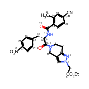 CCOC(=O)Cn1cc2c(n1)CCN(C(=O)[C@H](Cc1ccc([N+](=O)[O-])cc1)NC(=O)c1ccc(C#N)cc1C)C2